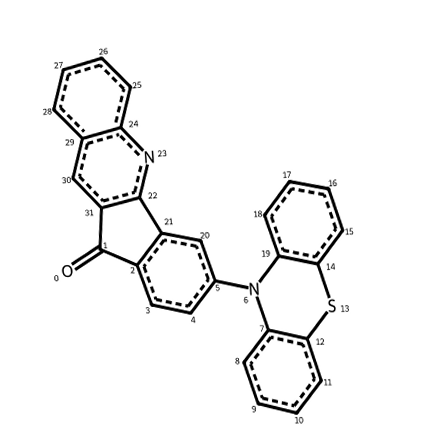 O=C1c2ccc(N3c4ccccc4Sc4ccccc43)cc2-c2nc3ccccc3cc21